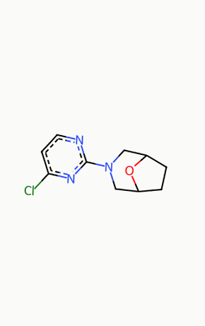 Clc1ccnc(N2CC3CCC(C2)O3)n1